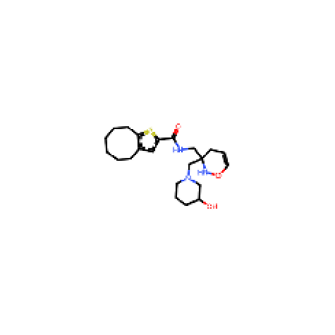 O=C(NCC1(CN2CCCC(O)C2)CC=CON1)c1cc2c(s1)CCCCCC2